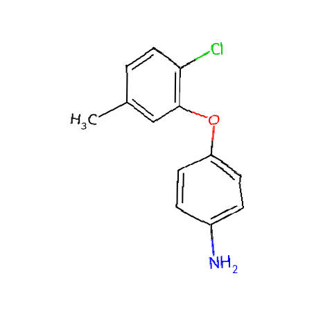 Cc1ccc(Cl)c(Oc2ccc(N)cc2)c1